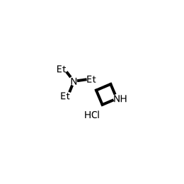 C1CNC1.CCN(CC)CC.Cl